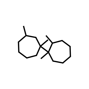 CC1CCCCC(C)(C2(C)CCCCCC2C)C1